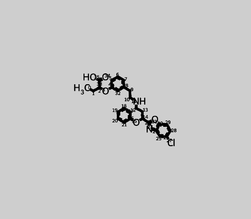 CCC(Oc1cccc(CCNCCC(Oc2ccccc2)c2nc3cc(Cl)ccc3o2)c1)C(=O)O